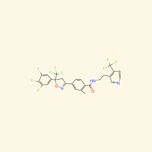 Cc1cc(C2=NOC(c3cc(F)c(F)c(F)c3)(C(F)(F)F)C2)ccc1C(=O)NCCc1cnccc1C(F)(F)F